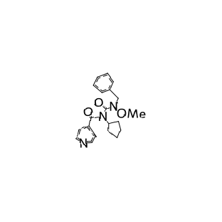 CON(Cc1ccccc1)C(=O)N(C(=O)c1ccncc1)C1CCCC1